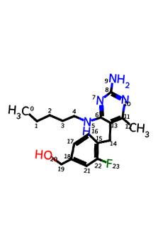 CCCCCNc1nc(N)nc(C)c1Cc1ccc(CO)cc1F